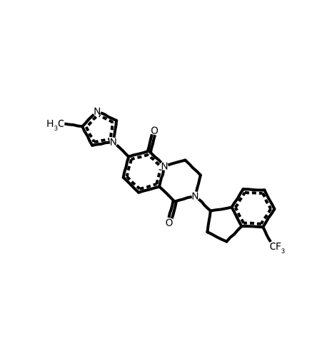 Cc1cn(-c2ccc3n(c2=O)CCN(C2CCc4c2cccc4C(F)(F)F)C3=O)cn1